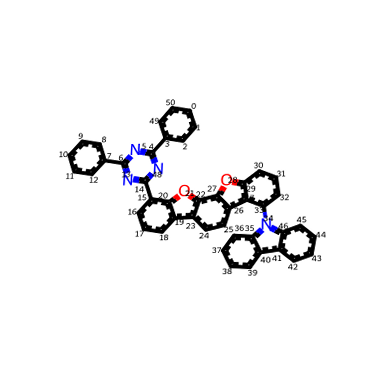 c1ccc(-c2nc(-c3ccccc3)nc(-c3cccc4c3oc3c4ccc4c3oc3cccc(-n5c6ccccc6c6ccccc65)c34)n2)cc1